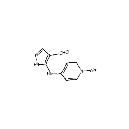 CCCN1C=CC(Nc2[nH]ccc2C=O)=CC1